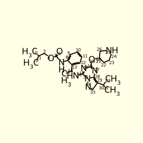 CC(C)COC(=O)Nc1ccccc1C(C)Nc1nc(O[C@@H]2CCCNC2)nc2c(C(C)C)cnn12